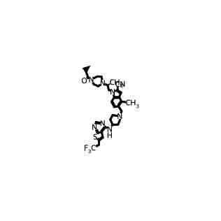 Cc1c(CN2CCC(Nc3ncnc4sc(CC(F)(F)F)cc34)CC2)ccc2c1cc(C#N)n2C[C@H](C)N1CCN(C(=O)C2CC2)CC1